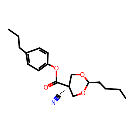 CCCC[C@H]1OC[C@@](C#N)(C(=O)Oc2ccc(CCC)cc2)CO1